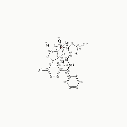 CC(=O)N1C[C@H]2CC[C@@H](C1)C2C(=O)N1C[C@H](F)C[C@H]1C(=O)N[C@@H](c1ccccc1)c1ccc(C(C)C)cc1